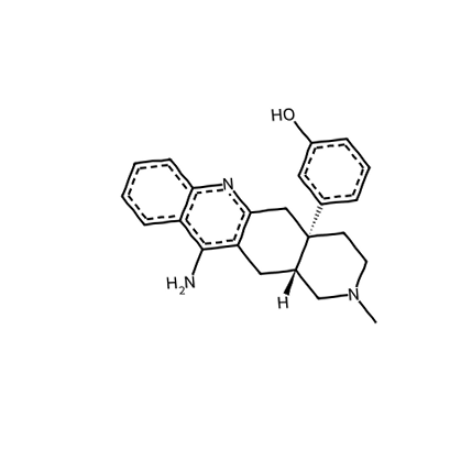 CN1CC[C@]2(c3cccc(O)c3)Cc3nc4ccccc4c(N)c3C[C@H]2C1